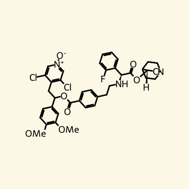 COc1ccc(C(Cc2c(Cl)c[n+]([O-])cc2Cl)OC(=O)c2ccc(CCN[C@H](C(=O)O[C@H]3CN4CCC3CC4)c3ccccc3F)cc2)cc1OC